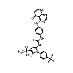 CC(C)(C)c1cc(NC(=O)Nc2ccc(Nc3ncnc4[nH]ccc(=O)c34)cc2)n(-c2ccc(C(F)(F)F)cc2)n1